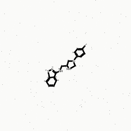 Ic1ccc(N2CNC(CNc3nsc4ccccc34)C2)cc1